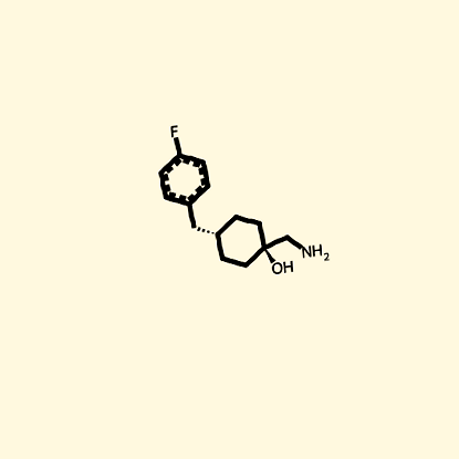 NC[C@]1(O)CC[C@H](Cc2ccc(F)cc2)CC1